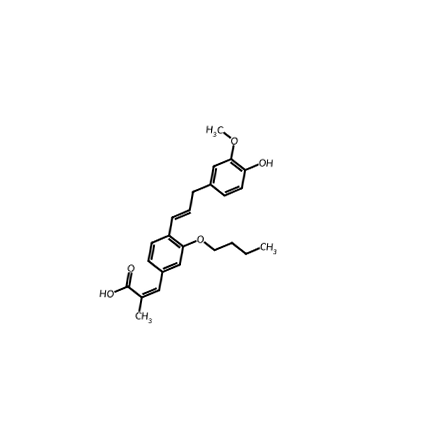 CCCCOc1cc(C=C(C)C(=O)O)ccc1C=CCc1ccc(O)c(OC)c1